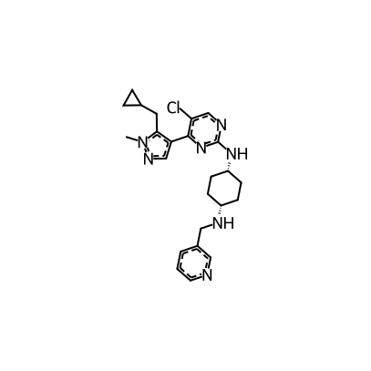 Cn1ncc(-c2nc(N[C@H]3CC[C@@H](NCc4cccnc4)CC3)ncc2Cl)c1CC1CC1